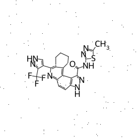 Cc1nnc(NC(=O)c2n[nH]c3ccc4nc(-c5c[nH]nc5C(F)(F)F)c5c(c4c23)CCCC5)s1